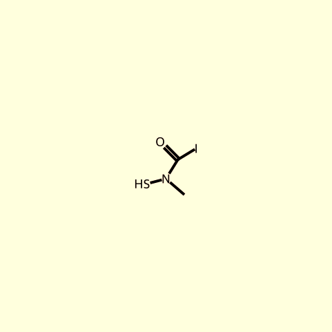 CN(S)C(=O)I